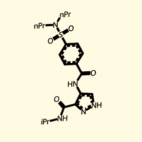 CCCN(CCC)S(=O)(=O)c1ccc(C(=O)Nc2c[nH]nc2C(=O)NC(C)C)cc1